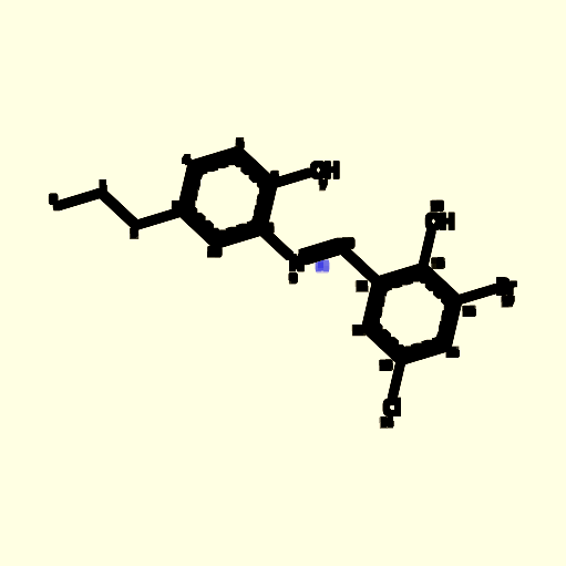 CCCc1ccc(O)c(/N=C/c2cc(Cl)cc(Br)c2O)c1